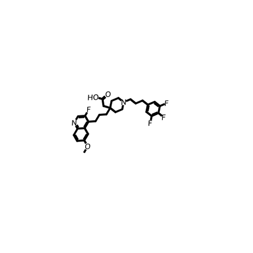 COc1ccc2ncc(F)c(CCCC3(CC(=O)O)CCN(CCCc4cc(F)c(F)c(F)c4)CC3)c2c1